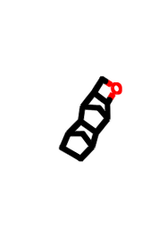 C1CC2CC1C1C3CC(C4OCC34)C21